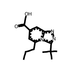 CCCc1cc(C(=O)O)cc2nnc(C(C)(C)C)n12